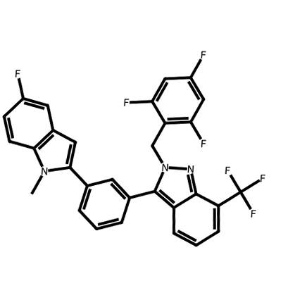 Cn1c(-c2cccc(-c3c4cccc(C(F)(F)F)c4nn3Cc3c(F)cc(F)cc3F)c2)cc2cc(F)ccc21